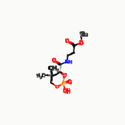 CC(C)(C)OC(=O)CCNC(=O)[C@@H]1OP(=O)(O)OCC1(C)C